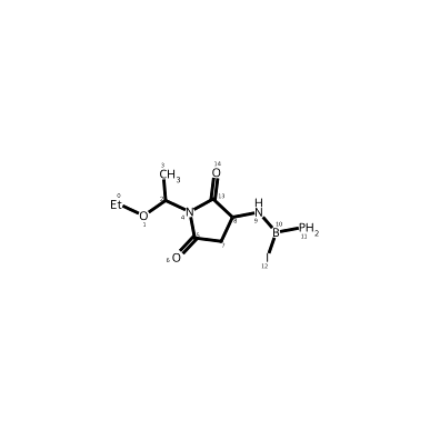 CCOC(C)N1C(=O)CC(NB(P)I)C1=O